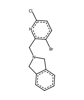 Clc1ccc(Br)c(CN2Cc3ccccc3C2)n1